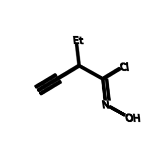 C#CC(CC)C(Cl)=NO